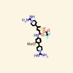 COc1cc(NC(=O)c2cc(C3=CCN(C(=N)N)CC3)cs2)ccc1C1=CCN(C(=N)N)CC1.O=C(O)C(F)(F)F